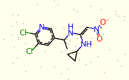 CC(NC(=C[N+](=O)[O-])NC1CC1)c1cnc(Cl)c(Cl)c1